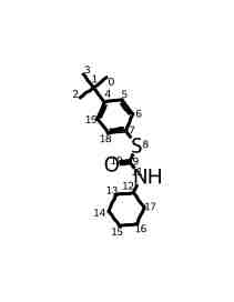 CC(C)(C)c1ccc(SC(=O)NC2CCCCC2)cc1